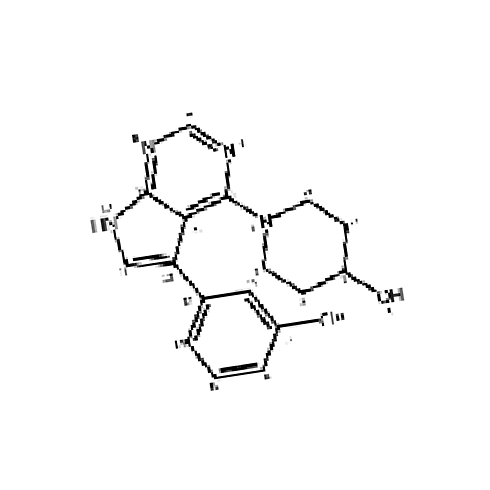 OC1CCN(c2ncnc3[nH]cc(-c4cccc(Cl)c4)c23)CC1